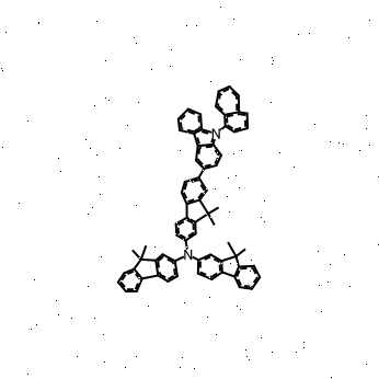 CC1(C)c2ccccc2-c2ccc(N(c3ccc4c(c3)C(C)(C)c3ccccc3-4)c3ccc4c(c3)C(C)(C)c3cc(-c5ccc6c(c5)c5ccccc5n6-c5cccc6ccccc56)ccc3-4)cc21